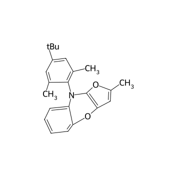 Cc1cc2c(o1)N(c1c(C)cc(C(C)(C)C)cc1C)c1ccccc1O2